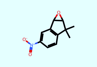 CC1(C)c2ccc([N+](=O)[O-])cc2C2OC21